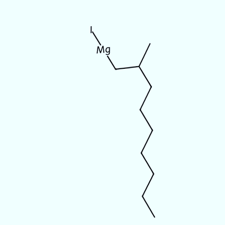 CCCCCCCC(C)[CH2][Mg][I]